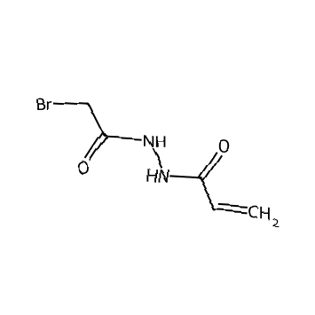 C=CC(=O)NNC(=O)CBr